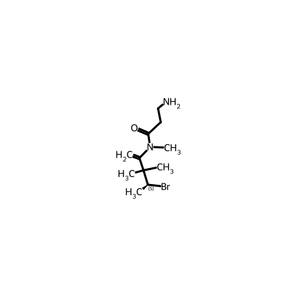 C=C(N(C)C(=O)CCN)C(C)(C)[C@H](C)Br